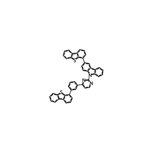 c1cc(-c2ccnc(-n3c4ccccc4c4cc(-c5cccc6c5sc5ccccc56)ccc43)n2)cc(-c2cccc3c2sc2ccccc23)c1